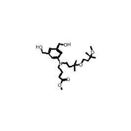 COC(=O)CCCN(CCC(C)(C)OCCC(C)(C)OC)c1cc(CO)cc(CO)c1